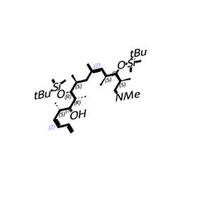 C=C/C=C\[C@H](C)[C@H](O)[C@@H](C)[C@H](O[Si](C)(C)C(C)(C)C)[C@@H](C)C/C(C)=C\[C@H](C)[C@@H](O[Si](C)(C)C(C)(C)C)[C@@H](C)CNC